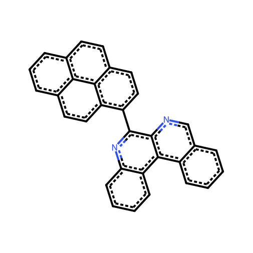 c1ccc2c(c1)cnc1c(-c3ccc4ccc5cccc6ccc3c4c56)nc3ccccc3c12